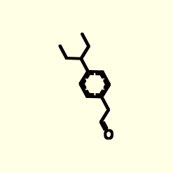 CCC(CC)c1ccc(CC=O)cc1